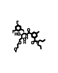 CCCN(CCC)C(=O)c1cc(C)cc(C(=O)N[C@@H](Cc2cc(F)cc(F)c2)[C@@H](O)[C@H](O)COCCOC)c1